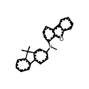 CN(c1ccc2c(c1)C(C)(C)c1ccccc1-2)c1cccc2c1oc1ccccc12